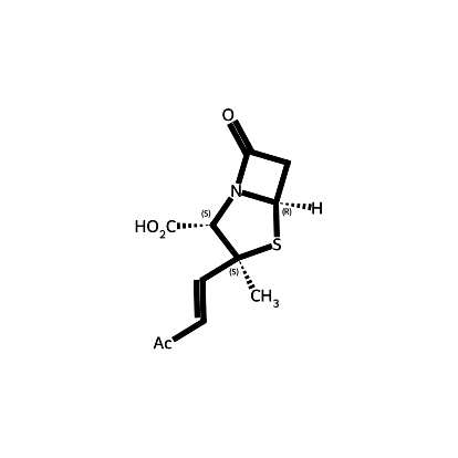 CC(=O)C=C[C@]1(C)S[C@@H]2CC(=O)N2[C@H]1C(=O)O